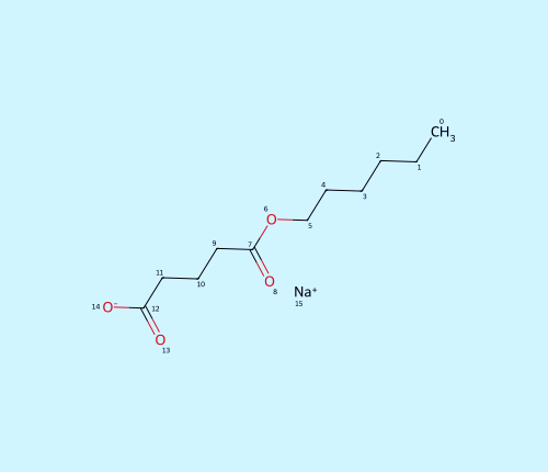 CCCCCCOC(=O)CCCC(=O)[O-].[Na+]